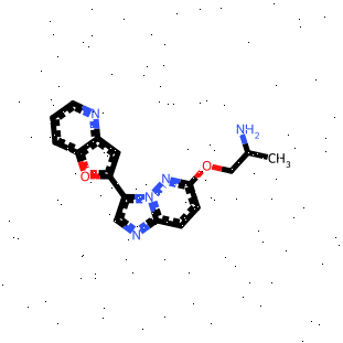 CC(N)COc1ccc2ncc(-c3cc4ncccc4o3)n2n1